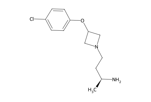 C[C@H](N)CCN1CC(Oc2ccc(Cl)cc2)C1